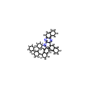 c1ccc(-c2ccc3c4c2-c2ccccc2-c2cccc5ccc(c4c25)n3-c2nc3ccc4ccccc4c3nc2-c2ccc3ccccc3c2)cc1